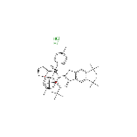 Cl.Cl.[CH2]=[Zr]([C]1=CC=CC1)([c]1ccc(C)cc1)([c]1ccc(C)cc1)[c]1c2c(cc(C(C)(C)C)c1C(C)(C)C)-c1cc(C(C)(C)C)c(C(C)(C)C)cc1C2